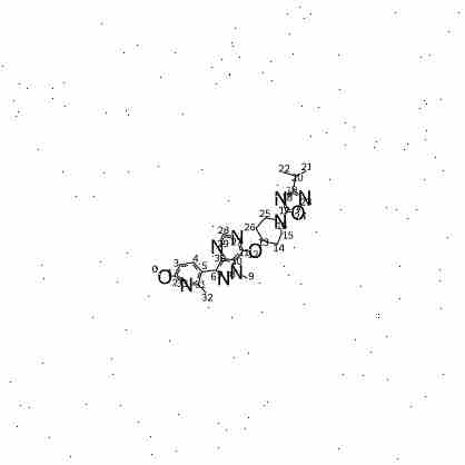 COc1ccc(-c2nn(C)c3c(OC4CCN(c5nc(C(C)C)no5)CC4)ncnc23)c(C)n1